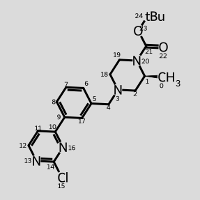 C[C@H]1CN(Cc2cccc(-c3ccnc(Cl)n3)c2)CCN1C(=O)OC(C)(C)C